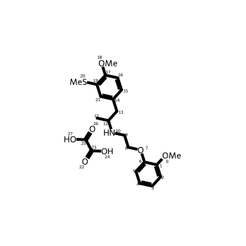 COc1ccccc1OCCNC(C)Cc1ccc(OC)c(SC)c1.O=C(O)C(=O)O